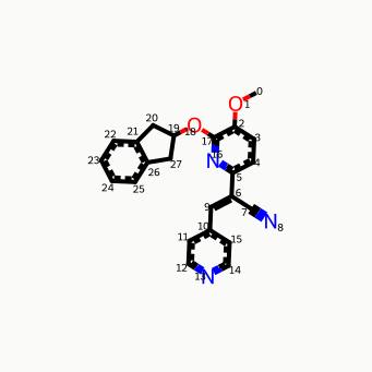 COc1ccc(C(C#N)=Cc2ccncc2)nc1OC1Cc2ccccc2C1